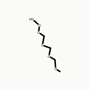 COCOCOCOOO